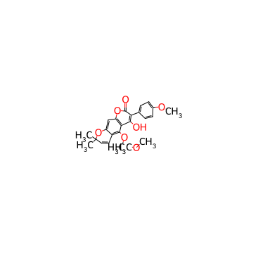 COC.COc1ccc(-c2c(O)c3c(OC)c4c(cc3oc2=O)OC(C)(C)C=C4)cc1